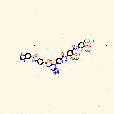 COc1c(NC(=O)c2ccc(NC(=O)c3ccc(NC(=O)[C@H](Cc4c[nH]nn4)NC(=O)c4ccc(NC(=O)c5ccc6nccnc6c5)cc4)cn3)c(OC)c2O)ccc(C(=O)O)c1O